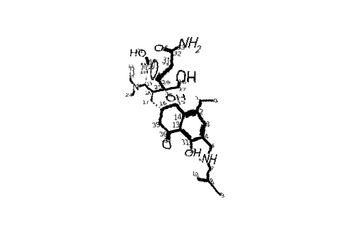 CCc1cc(CNCC(C)C)c(O)c2c1C[C@@H](C[C@@H]([C@@H](CO)N(C)C)[C@](O)(CO)C(=O)CC(N)=O)CC2=O